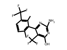 Cc1ccc(C(F)(F)F)c(C)c1-c1nc(N)nc(O)c1C(F)(F)F